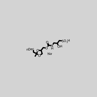 CCCCCCCCCCCC1(C)OCC(COC(=O)NCC(O)CS(=O)(=O)O)O1.[Na]